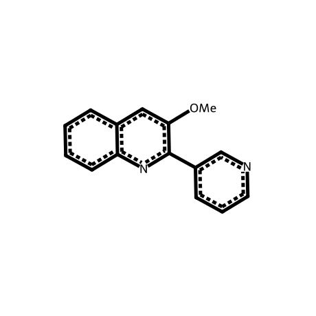 COc1cc2ccccc2nc1-c1cccnc1